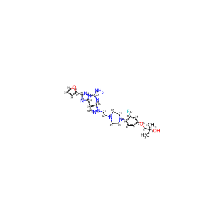 CC(C)(O)COc1ccc(N2CCN(CCn3ncc4c3nc(N)n3nc(-c5ccco5)nc43)CC2)c(F)c1